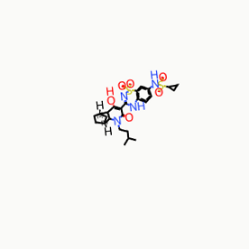 CC(C)CCN1C(=O)C(C2=NS(=O)(=O)c3cc(NS(=O)(=O)C4CC4)ccc3N2)=C(O)C2C1[C@@H]1CC[C@H]2C1